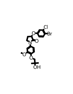 COc1cc(N2CCC(Oc3ccc(Br)c(Cl)c3)C2=O)ccc1OCC(C)(C)O